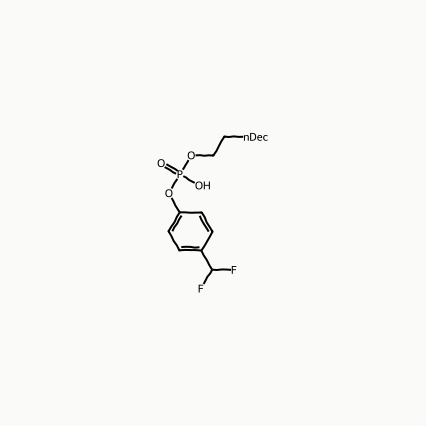 CCCCCCCCCCCCOP(=O)(O)Oc1ccc(C(F)F)cc1